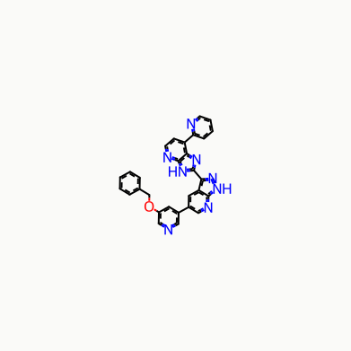 c1ccc(COc2cncc(-c3cnc4[nH]nc(-c5nc6c(-c7ccccn7)ccnc6[nH]5)c4c3)c2)cc1